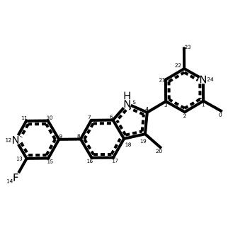 Cc1cc(-c2[nH]c3cc(-c4ccnc(F)c4)ccc3c2C)cc(C)n1